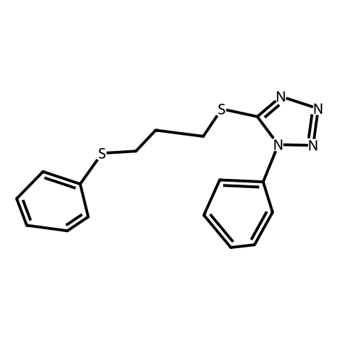 c1ccc(SCCCSc2nnnn2-c2ccccc2)cc1